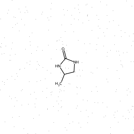 CC1[CH]NC(=O)N1